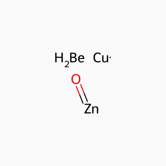 [BeH2].[Cu].[O]=[Zn]